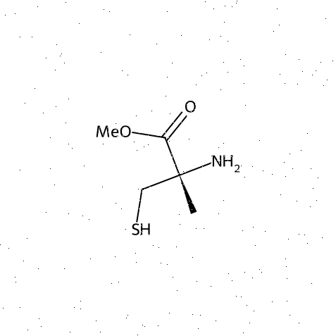 COC(=O)[C@](C)(N)CS